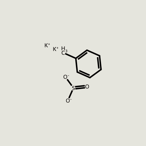 Cc1ccccc1.O=S([O-])[O-].[K+].[K+]